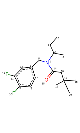 CCC(C)N(Cc1ccc(F)c(F)c1)C(=O)CC(C)(C)C